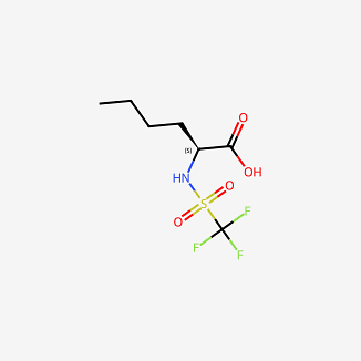 CCCC[C@H](NS(=O)(=O)C(F)(F)F)C(=O)O